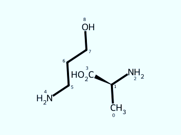 C[C@H](N)C(=O)O.NCCCO